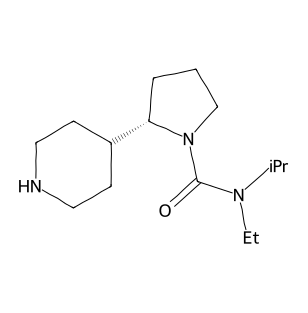 CCN(C(=O)N1CCC[C@H]1C1CCNCC1)C(C)C